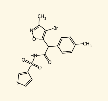 Cc1ccc(C(C(=O)NS(=O)(=O)c2ccsc2)c2onc(C)c2Br)cc1